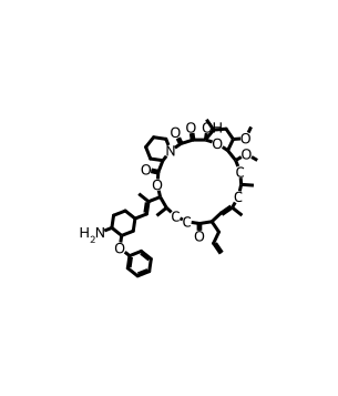 C=CCC1/C=C(\C)CC(C)CC(OC)C2OC(O)(C(=O)C(=O)N3CCCCC3C(=O)OC(C(C)=CC3CCC(N)C(Oc4ccccc4)C3)C(C)CCC1=O)C(C)CC2OC